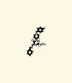 CC(C)(C)OC(=O)N[C@@H](CSCC1CCCCC1)C(=O)NC1CCN(Cc2ccc(F)cc2)CC1